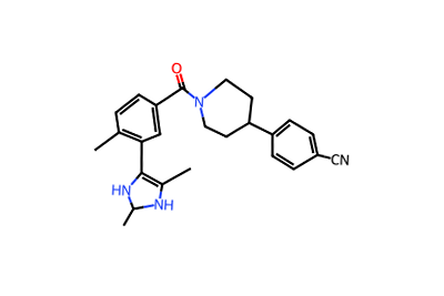 CC1=C(c2cc(C(=O)N3CCC(c4ccc(C#N)cc4)CC3)ccc2C)NC(C)N1